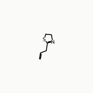 C=CCC1=NCCS1